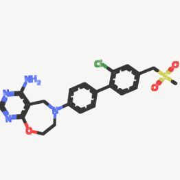 CS(=O)(=O)Cc1ccc(-c2ccc(N3CCOc4ncnc(N)c4C3)cc2)c(Cl)c1